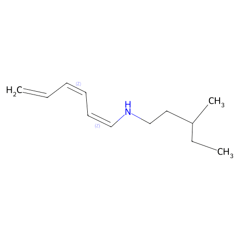 C=C/C=C\C=C/NCCC(C)CC